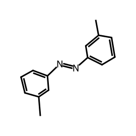 Cc1cccc(N=Nc2cccc(C)c2)c1